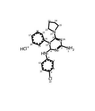 Cl.NC1=NC(Nc2ccc(Cl)cc2)N(c2ccccc2)C(N2CCCC2)=N1